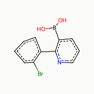 OB(O)c1cccnc1-c1ccccc1Br